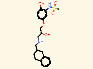 CS(=O)(=O)Nc1cc(OC[C@@H](O)CNCC2CCc3c[c]ccc3C2)ccc1O